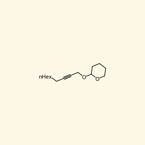 CCCCCCCC#CCOC1CCCCO1